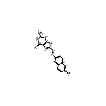 Nc1ccc2nc(/N=N/c3nc4c(=O)[nH]c(N)nc4[nH]3)ccc2c1